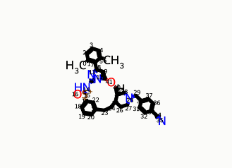 Cc1cccc(C)c1-c1cc2nc(n1)N[S+]([O-])c1cccc(c1)CCC1CCN(Cc3ccc(C#N)cc3)C[C@@H]1CO2